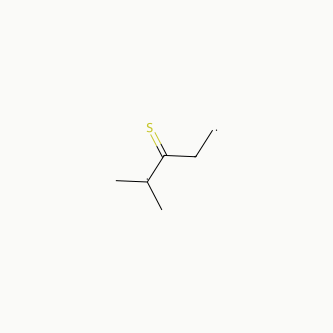 [CH2]CC(=S)[C](C)C